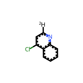 [2H]c1cc(Cl)c2ccccc2n1